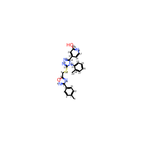 Cc1ccc(-c2noc(CSc3nnc(-c4ccnc(O)c4)n3-c3ccccc3C)n2)cc1